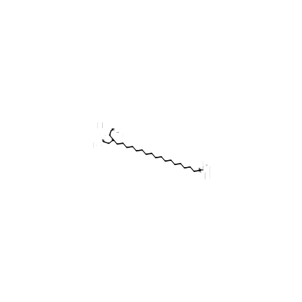 CC(C)(C)CCCCCCCCCCCCCCCCCC(O)(CC(=O)O)CC(=O)O